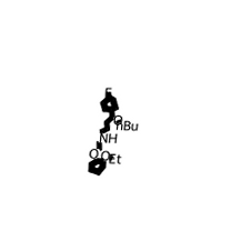 CCCCOC(CCCNCCOc1ccccc1OCC)c1ccc(F)cc1